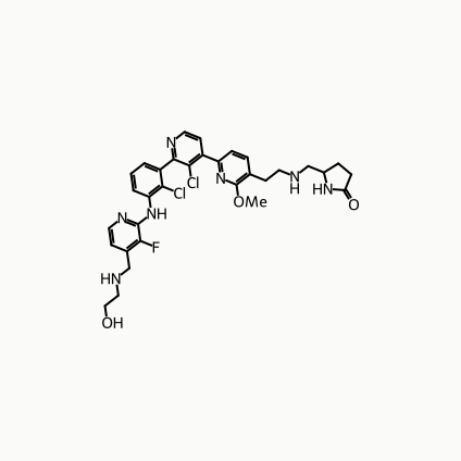 COc1nc(-c2ccnc(-c3cccc(Nc4nccc(CNCCO)c4F)c3Cl)c2Cl)ccc1CCNCC1CCC(=O)N1